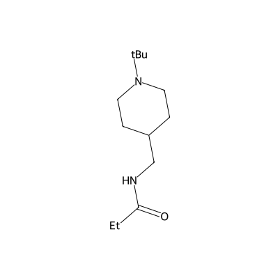 CCC(=O)NCC1CCN(C(C)(C)C)CC1